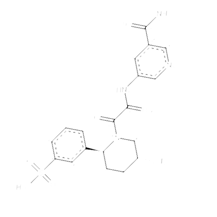 C[C@@H]1CC[C@@H](c2cccc(S(C)(=O)=O)c2)N(C(=O)C(=O)Nc2cncc(C(N)=O)c2)C1